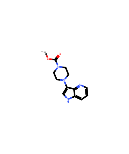 CC(C)(C)OC(=O)N1CCN(c2c[nH]c3cccnc23)CC1